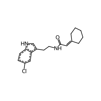 O=C(C=C1CCCCC1)NCCc1c[nH]c2ccc(Cl)cc12